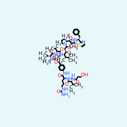 CC[C@H](C)[C@@H]([C@@H](CC(=O)N1CCC[C@H]1[C@H](OC)[C@@H](C)C(=O)N[C@@H](Cc1ccccc1)c1nccs1)OC)N(C)C(=O)[C@@H](NC(=O)[C@H](C(C)C)N(C)C(=O)OCc1ccc(NC(=O)C(CCCNC(N)=O)NC(=O)[C@@H](NC(=O)CCO)C(C)C)cc1)C(C)C